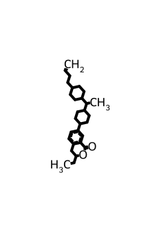 C=CCCC1CCC(C(C)C2CCC(c3ccc4c(c3)C(=O)OC(CC)C4)CC2)CC1